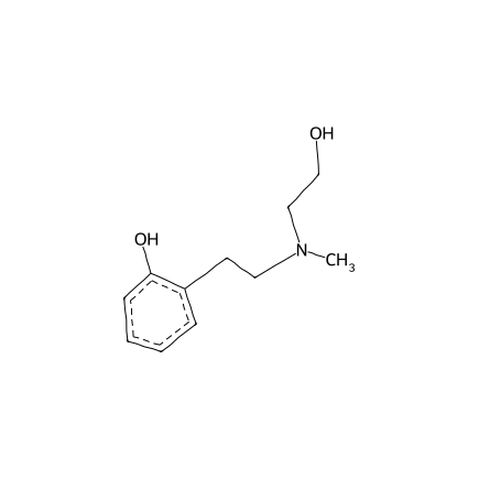 CN(CCO)CCc1ccccc1O